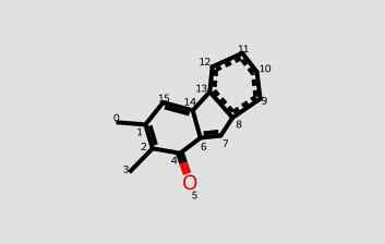 CC1=C(C)C(=O)C2=Cc3ccccc3C2=C1